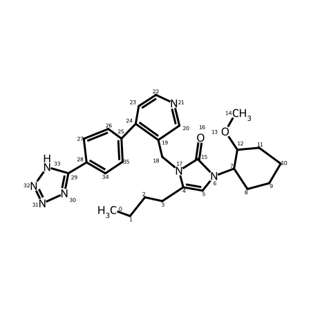 CCCCc1cn(C2CCCCC2OC)c(=O)n1Cc1cnccc1-c1ccc(-c2nnn[nH]2)cc1